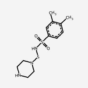 Cc1ccc(S(=O)(=O)NSN2CCNCC2)cc1C